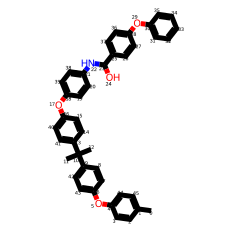 Cc1ccc(Oc2ccc(C(C)(C)c3ccc(Oc4ccc(NC(O)c5ccc(Oc6ccccc6)cc5)cc4)cc3)cc2)cc1